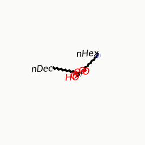 CCCCCC/C=C\CCCCCCCC(=O)OC[C@H](CO)OC(=O)CCCCCCCCCCCCCCCCCCCCC